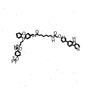 O=C(CCCCCCNC(=O)COc1ccc(-c2ccc3c(c2)[nH]c2ccncc23)cn1)NCc1ccc2c(c1)Oc1ccccc1N2CCCNS(=O)(=O)c1ccc(OC(F)(F)F)cc1